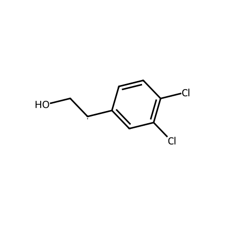 OC[CH]c1ccc(Cl)c(Cl)c1